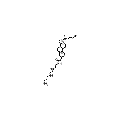 CC(C)CCC[C@@H](C)[C@H]1CCC2C3CC=C4CC(OC(=O)NCCNCCNCCCN)CC[C@]4(C)C3CC[C@@]21C